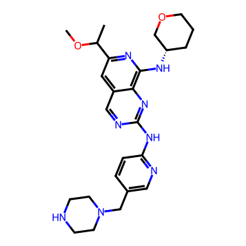 COC(C)c1cc2cnc(Nc3ccc(CN4CCNCC4)cn3)nc2c(N[C@H]2CCCOC2)n1